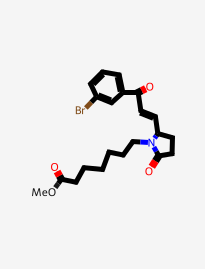 COC(=O)CCCCCCN1C(=O)CCC1C=CC(=O)c1cccc(Br)c1